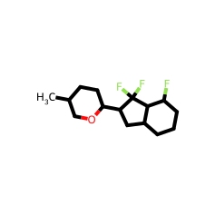 CC1CCC(C2CC3CCCC(F)C3C2(F)F)OC1